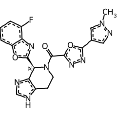 Cn1cc(-c2nnc(C(=O)N3CCc4[nH]cnc4[C@H]3c3nc4c(F)cccc4o3)o2)cn1